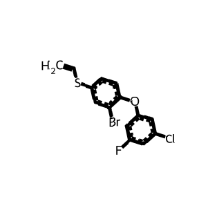 C=CSc1ccc(Oc2cc(F)cc(Cl)c2)c(Br)c1